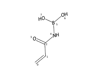 C=CC(=O)NB(O)O